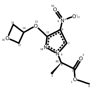 COC(=O)[C@@H](C)n1cc([N+](=O)[O-])c(OC2COC2)n1